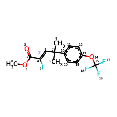 COC(=O)/C(F)=C/C(C)(C)c1ccc(OC(F)(F)F)cc1